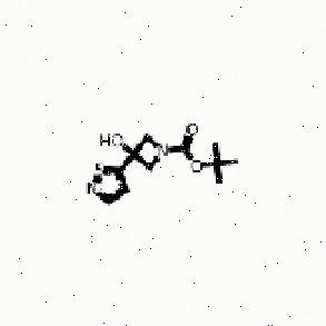 CC(C)(C)OC(=O)N1CC(O)(c2ccns2)C1